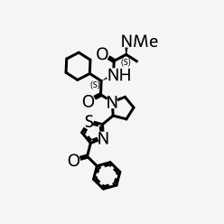 CN[C@@H](C)C(=O)N[C@H](C(=O)N1CCCC1c1nc(C(=O)c2ccccc2)cs1)C1CCCCC1